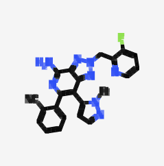 CCn1nccc1-c1c(-c2ccccc2C#N)nc(N)c2nn(Cc3ncccc3F)nc12